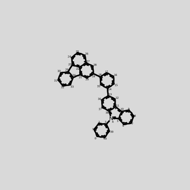 c1ccc(-n2c3ccccc3c3cc(-c4cccc(-c5cc6c7c(cccc7c5)-c5ccccc5-6)c4)ccc32)cc1